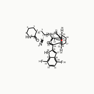 N#C[C@H](C[C@H]1CCCNC1=O)NC(=O)[C@@H]1[C@@H]2CC[C@@H](CC2(F)F)N1C(=O)c1cc2c(F)ccc(F)c2[nH]1